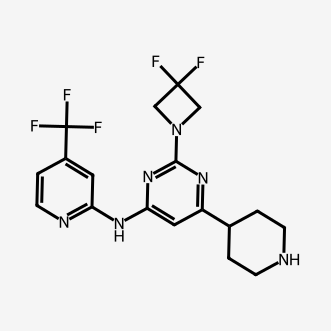 FC1(F)CN(c2nc(Nc3cc(C(F)(F)F)ccn3)cc(C3CCNCC3)n2)C1